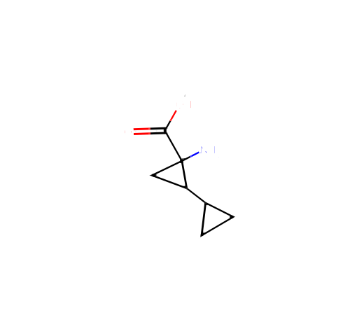 NC1(C(=O)O)CC1C1CC1